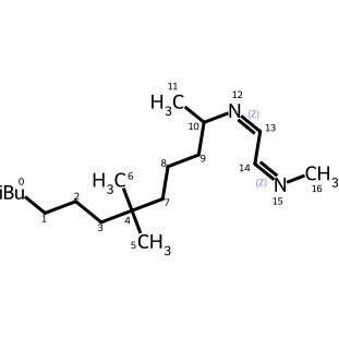 CCC(C)CCCC(C)(C)CCCC(C)/N=C\C=N/C